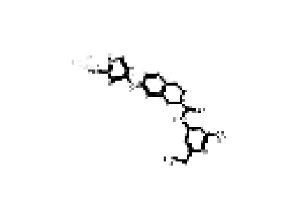 NCc1cc(NC(=O)[C@@H]2CCc3ccc(Oc4ccnc(NC(=O)O)c4)cc3C2)cc(C(F)(F)F)c1